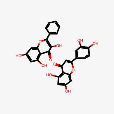 O=c1c(O)c(-c2ccccc2)oc2cc(O)cc(O)c12.O=c1cc(-c2ccc(O)c(O)c2)oc2cc(O)cc(O)c12